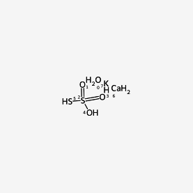 O.O=S(=O)(O)S.[CaH2].[KH]